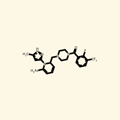 Cc1cc(N2C([AsH2])=CC=CC2CN2CCN(C(=O)c3cccc(C(F)(F)F)c3F)CC2)n[nH]1